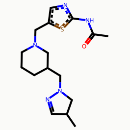 CC(=O)Nc1ncc(CN2CCCC(CN3CC(C)C=N3)C2)s1